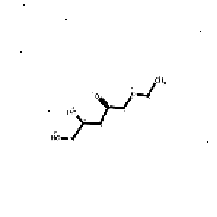 CCOCC(=O)CC(O)CO